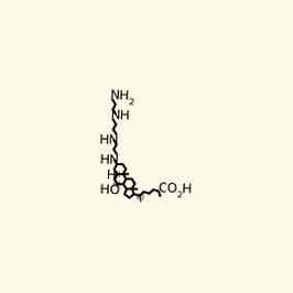 CC(CCC[C@@H](C)C1CCC2C3C(CCC21C)C1(C)CCC(NCCCNCCCCNCCCN)C[C@@H]1C[C@H]3O)C(=O)O